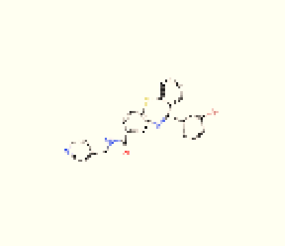 O=C(NCc1ccncc1)c1ccc2c(c1)N=C(c1cccc(Br)c1)c1ccccc1S2